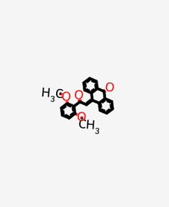 COc1cccc(OC)c1C(=O)C=C1c2ccccc2C(=O)c2ccccc21